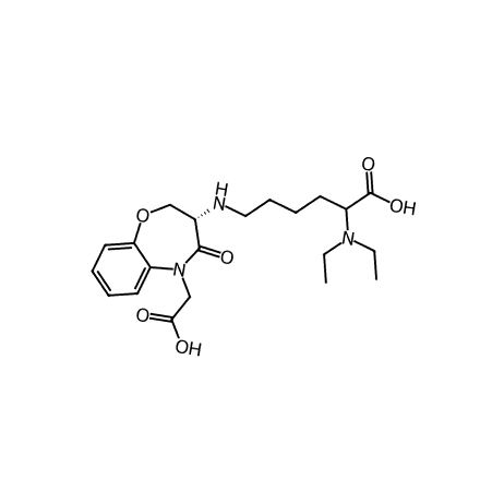 CCN(CC)C(CCCCN[C@H]1COc2ccccc2N(CC(=O)O)C1=O)C(=O)O